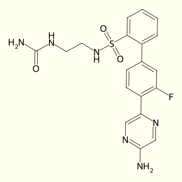 NC(=O)NCCNS(=O)(=O)c1ccccc1-c1ccc(-c2cnc(N)cn2)c(F)c1